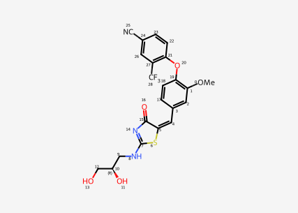 COc1cc(C=C2SC(NC[C@@H](O)CO)=NC2=O)ccc1Oc1ccc(C#N)cc1C(F)(F)F